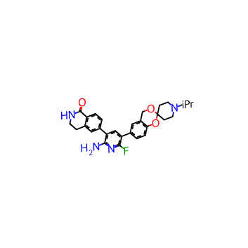 CC(C)N1CCC2(CC1)OCc1cc(-c3cc(-c4ccc5c(c4)CCNC5=O)c(N)nc3F)ccc1O2